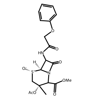 COC(=O)C1N2C(=O)C(NC(=O)COc3ccccc3)[C@@H]2[S@@+]([O-])C[C@@]1(C)OC(C)=O